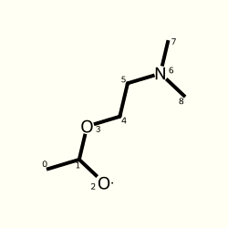 CC([O])OCCN(C)C